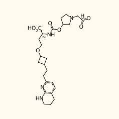 O=C(N[C@@H](CCOC1CC(CCc2ccc3c(n2)NCCC3)C1)C(=O)O)OC1CCN(C[SH](=O)=O)C1